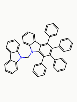 c1ccc(-c2c(-c3ccccc3)c(-c3ccccc3)c3c(c2-c2ccccc2)c2ccccc2n3Cn2c3ccccc3c3ccccc32)cc1